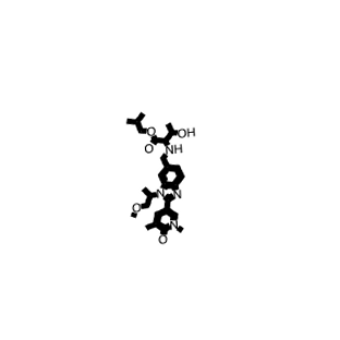 COCC(C)n1c(-c2cc(C)c(=O)n(C)c2)nc2ccc(CNC(C(=O)OCC(C)C)C(C)O)cc21